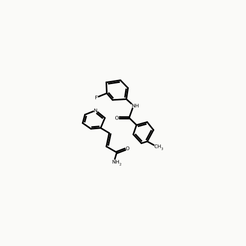 Cc1ccc(C(=O)Nc2cccc(F)c2)cc1.NC(=O)C=Cc1cccnc1